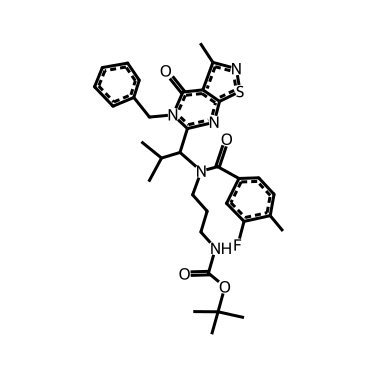 Cc1ccc(C(=O)N(CCCNC(=O)OC(C)(C)C)C(c2nc3snc(C)c3c(=O)n2Cc2ccccc2)C(C)C)cc1F